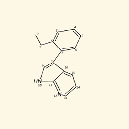 CCc1ccccc1-c1c[nH]c2ncccc12